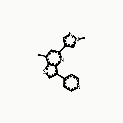 Cc1cc(-c2cnn(C)c2)nc2c(-c3ccncc3)csc12